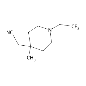 CC1(CC#N)CCN(CC(F)(F)F)CC1